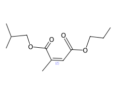 CCCOC(=O)/C=C(/C)C(=O)OCC(C)C